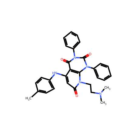 Cc1ccc(Nc2cc(=O)n(CCN(C)C)c3c2c(=O)n(-c2ccccc2)c(=O)n3-c2ccccc2)cc1